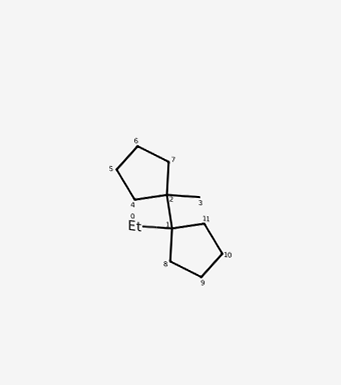 CCC1(C2(C)CCCC2)CCCC1